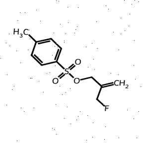 C=C(CF)COS(=O)(=O)c1ccc(C)cc1